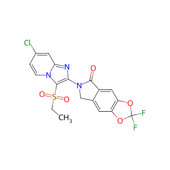 CCS(=O)(=O)c1c(N2Cc3cc4c(cc3C2=O)OC(F)(F)O4)nc2cc(Cl)ccn12